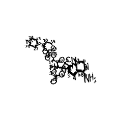 N#C[C@@]1(c2ccc3c(N)ncnn23)O[C@H](CO[P@@]2(=O)OCC[C@@H](c3ccncc3)O2)[C@H]2OC(=O)O[C@H]21